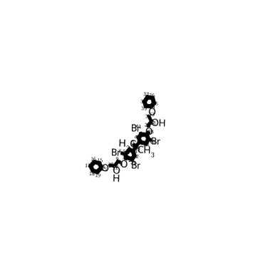 CC(C)(c1cc(Br)c(OCC(O)COc2ccccc2)c(Br)c1)c1cc(Br)c(OCC(O)COc2ccccc2)c(Br)c1